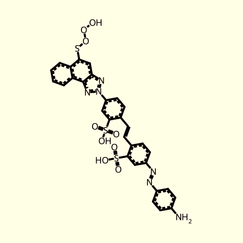 Nc1ccc(N=Nc2ccc(C=Cc3ccc(-n4nc5cc(SOOO)c6ccccc6c5n4)cc3S(=O)(=O)O)c(S(=O)(=O)O)c2)cc1